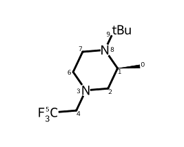 C[C@H]1CN(CC(F)(F)F)CCN1C(C)(C)C